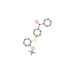 C[Si](C)(C)Oc1ccccc1Sc1ccc(C(=O)c2ccccc2)cc1